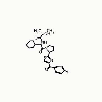 CN[C@@H](C)C(=O)N[C@H](C(=O)N1CCCC1c1nc(C(=O)c2ccc(F)cc2)cs1)C1CCCCC1